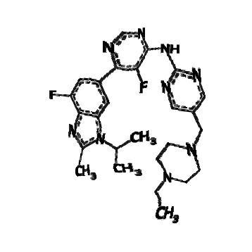 CCN1CCN(Cc2cnc(Nc3ncnc(-c4cc(F)c5nc(C)n(C(C)C)c5c4)c3F)nc2)CC1